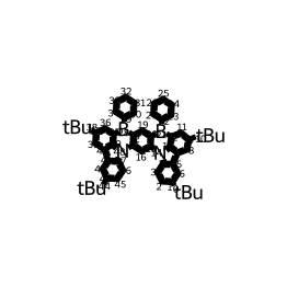 CC(C)(C)c1ccc2c(c1)c1cc(C(C)(C)C)cc3c1n2-c1cc2c(cc1B3c1ccccc1)B(c1ccccc1)c1cc(C(C)(C)C)cc3c4cc(C(C)(C)C)ccc4n-2c13